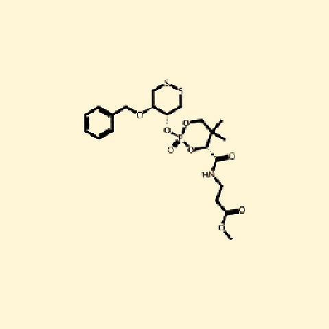 COC(=O)CCNC(=O)[C@@H]1O[P@@](=O)(O[C@H]2CSSC[C@@H]2OCc2ccccc2)OCC1(C)C